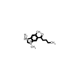 CCCCC(=O)c1cc2c(cc1C)[SiH](C)C[SiH]2C